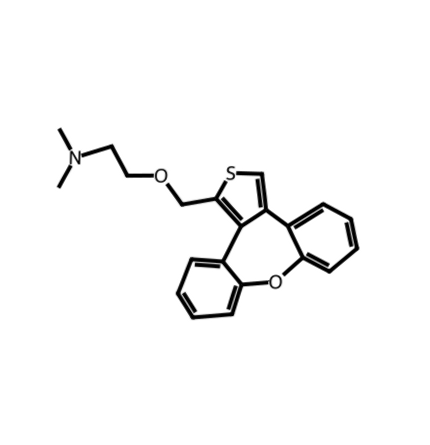 CN(C)CCOCc1scc2c1-c1ccccc1Oc1ccccc1-2